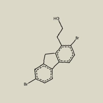 OCCc1c(Br)ccc2c1Cc1cc(Br)ccc1-2